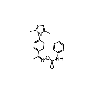 CC(=NOC(=O)Nc1ccccc1)c1ccc(-n2c(C)ccc2C)cc1